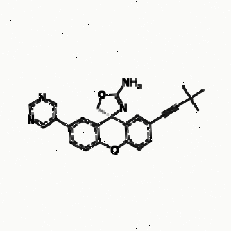 CC(C)(C)C#Cc1ccc2c(c1)[C@@]1(COC(N)=N1)c1cc(-c3cncnc3)ccc1O2